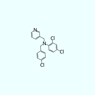 Clc1ccc(CN(Cc2cccnc2)c2ccc(Cl)cc2Cl)cc1